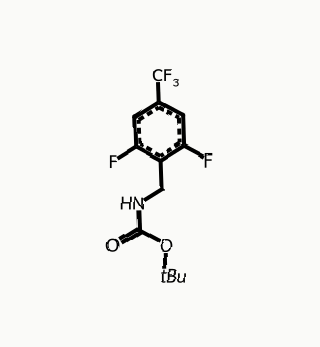 CC(C)(C)OC(=O)NCc1c(F)cc(C(F)(F)F)cc1F